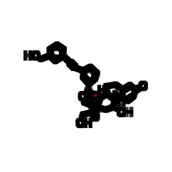 CC[C@H]1[C@@H]2CCC3=CC(=O)C=C[C@]3(C)[C@H]2[C@@H](O)C[C@]1(C)[C@@]1(C(=O)CO)CO[C@@H](c2cccc(C#Cc3cccc(CO)c3)c2)O1